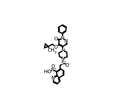 CC1(COc2c(N3CCN([S+]([O-])Cc4ccc5cccnc5c4[N+](=O)O)CC3)cnn(-c3ccccc3)c2=O)CC1